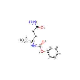 NC(=O)CC[C@H](NC(=O)Oc1ccccc1)C(=O)O